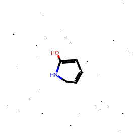 OC1=C[C]=CCN1